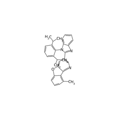 Cc1cccc2oc3cc(-c4nc5ccccc5n4-c4c(C(C)C)cccc4C(C)C)cnc3c12